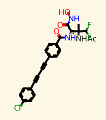 CC(=O)NC(C)(C(F)F)[C@H](NC(=O)c1ccc(C#CC#Cc2ccc(Cl)cc2)cc1)C(=O)NO